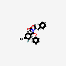 C=C1C[C@@H](C)C(C(=O)N2C(=O)OC[C@H]2Cc2ccccc2)[C@H](c2ccccc2)[C@H]1F